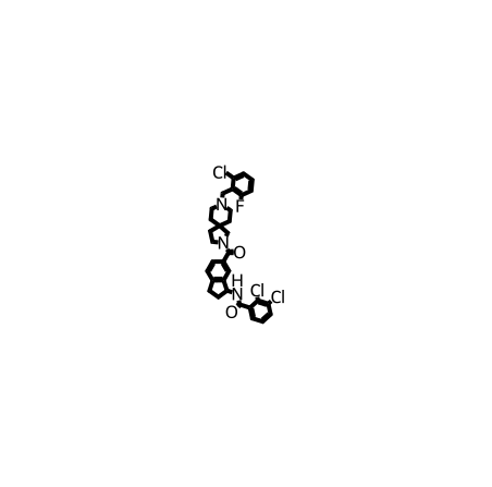 O=C(NC1CCc2ccc(C(=O)N3CCC4(CCN(Cc5c(F)cccc5Cl)CC4)C3)cc21)c1cccc(Cl)c1Cl